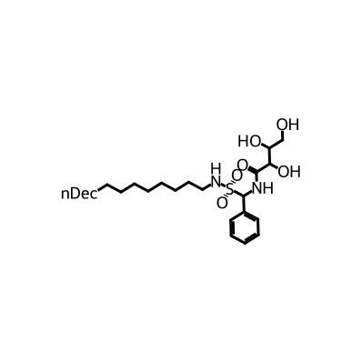 CCCCCCCCCCCCCCCCCCNS(=O)(=O)C(NC(=O)C(O)C(O)CO)c1ccccc1